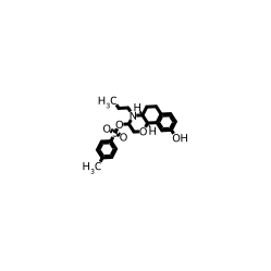 CCCN1C(OS(=O)(=O)c2ccc(C)cc2)CO[C@@H]2c3cc(O)ccc3CC[C@H]21